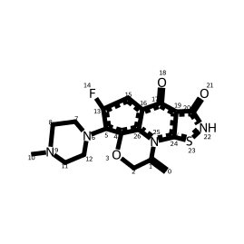 C=C1COc2c(N3CCN(C)CC3)c(F)cc3c(=O)c4c(=O)[nH]sc4n1c23